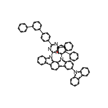 c1ccc(-c2cccc(-c3ccc(-c4nc(-c5ccccc5)nc(-n5c6ccccc6c6ccc7c8cc(-n9c%10ccccc%10c%10ccccc%109)ccc8n(-c8ccccc8-c8ccccc8)c7c65)n4)cc3)c2)cc1